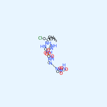 CC1(C)CCC(CNCCNc2ccc(C(=O)NS(=O)(=O)c3ccc(NCC4CCCN(CCCCCCNc5cccc6c5C(=O)N(C5CCC(=O)NC5=O)C6=O)C4)c(N=O)c3)c(Oc3cnc4[nH]ccc4c3)c2)=C(c2ccc(Cl)cc2)C1